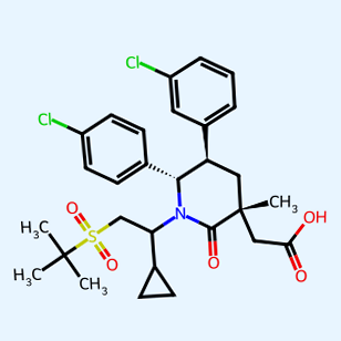 CC(C)(C)S(=O)(=O)CC(C1CC1)N1C(=O)[C@@](C)(CC(=O)O)C[C@H](c2cccc(Cl)c2)[C@H]1c1ccc(Cl)cc1